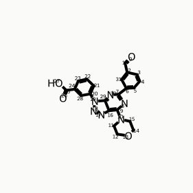 O=Cc1cccc(-c2nc(N3CCOCC3)c3nnn(-c4cccc(C(=O)O)c4)c3n2)c1